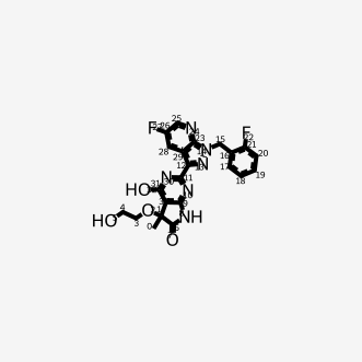 CC1(OCCO)C(=O)Nc2nc(-c3nn(Cc4ccccc4F)c4ncc(F)cc34)nc(O)c21